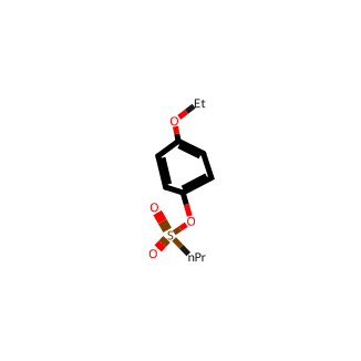 CCCS(=O)(=O)Oc1ccc(OCC)cc1